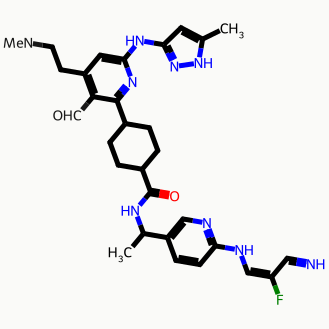 CNCCc1cc(Nc2cc(C)[nH]n2)nc(C2CCC(C(=O)NC(C)c3ccc(N/C=C(/F)C=N)nc3)CC2)c1C=O